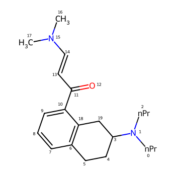 CCCN(CCC)C1CCc2cccc(C(=O)/C=C/N(C)C)c2C1